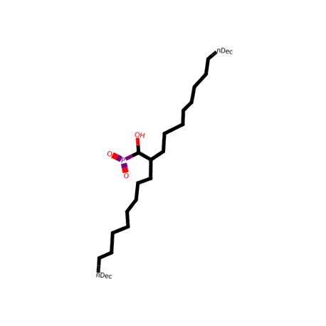 CCCCCCCCCCCCCCCCCCC(CCCCCCCCCCCCCCCCCC)C(O)P(=O)=O